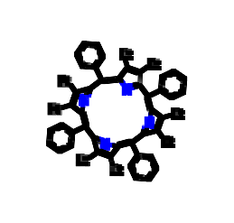 CCC1=C(CC)C2=C(c3ccccc3)C3=NC(=C(c4ccccc4)C4=NC(=C(c5ccccc5)C5=NC(=C(c6ccccc6)C1=N2)C(CC)=C5CC)C(CC)=C4CC)C(CC)=C3CC